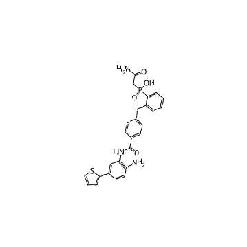 NC(=O)CP(=O)(O)c1ccccc1Cc1ccc(C(=O)Nc2cc(-c3cccs3)ccc2N)cc1